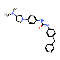 CC(=O)N(C)C1CCN(c2ccc(NC(=O)Nc3ccc(Cc4ccccc4)cc3)cc2)C1